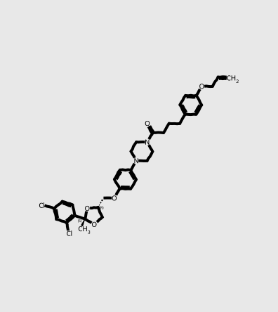 C=CCOc1ccc(CCCC(=O)N2CCN(c3ccc(OC[C@@H]4CO[C@](C)(c5ccc(Cl)cc5Cl)O4)cc3)CC2)cc1